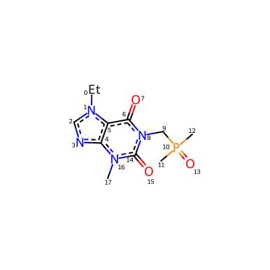 CCn1cnc2c1c(=O)n(CP(C)(C)=O)c(=O)n2C